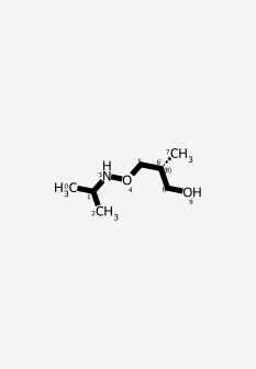 CC(C)NOC[C@H](C)CO